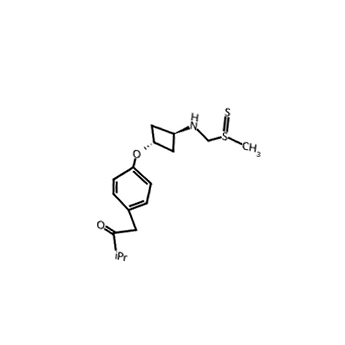 CC(C)C(=O)Cc1ccc(O[C@H]2C[C@H](NCS(C)=S)C2)cc1